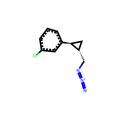 [N-]=[N+]=NC[C@H]1C[C@@H]1c1cccc(Cl)c1